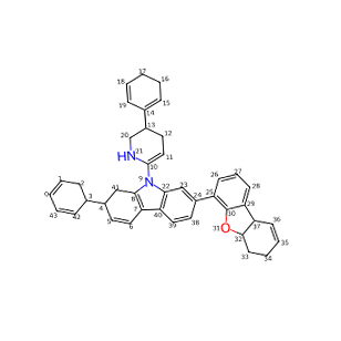 C1=CCC(C2C=Cc3c(n(C4=CCC(C5=CCCC=C5)CN4)c4cc(-c5cccc6c5OC5CCC=CC65)ccc34)C2)C=C1